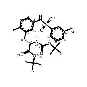 Cc1ccc(NS(=O)(=O)c2cccc(Br)c2)cc1C[C@H](NC(=O)OC(C)(C)C)C(=O)OC(C)(C)C